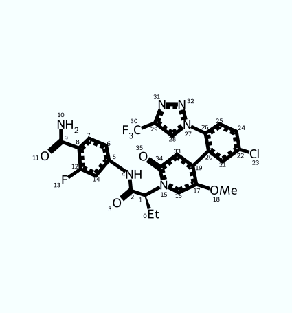 CC[C@@H](C(=O)Nc1ccc(C(N)=O)c(F)c1)n1cc(OC)c(-c2cc(Cl)ccc2-n2cc(C(F)(F)F)nn2)cc1=O